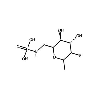 CC1OC(CNP(=O)(O)O)[C@@H](O)[C@H](O)C1F